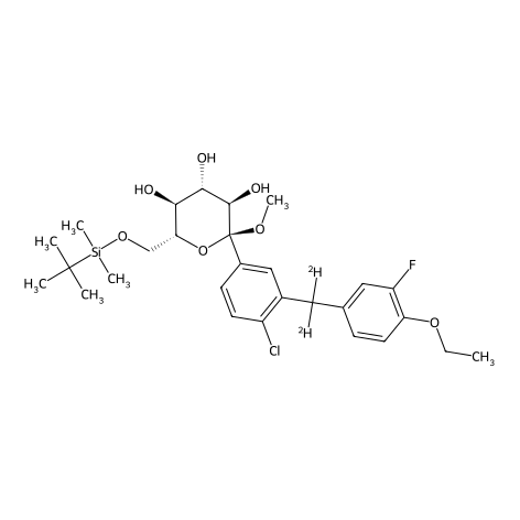 [2H]C([2H])(c1ccc(OCC)c(F)c1)c1cc([C@]2(OC)O[C@H](CO[Si](C)(C)C(C)(C)C)[C@@H](O)[C@H](O)[C@H]2O)ccc1Cl